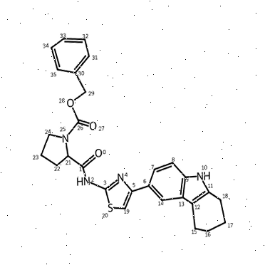 O=C(Nc1nc(-c2ccc3[nH]c4c(c3c2)CCCC4)cs1)C1CCCN1C(=O)OCc1ccccc1